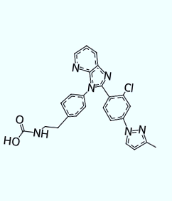 Cc1ccn(-c2ccc(-c3nc4cccnc4n3-c3ccc(CCNC(=O)O)cc3)c(Cl)c2)n1